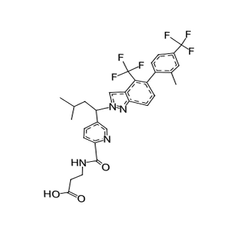 Cc1cc(C(F)(F)F)ccc1-c1ccc2nn(C(CC(C)C)c3ccc(C(=O)NCCC(=O)O)nc3)cc2c1C(F)(F)F